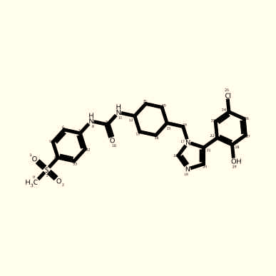 CS(=O)(=O)c1ccc(NC(=O)NC2CCC(Cn3cncc3-c3cc(Cl)ccc3O)CC2)cc1